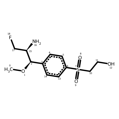 CO[C@H](c1ccc(S(=O)(=O)CCO)cc1)[C@H](N)CF